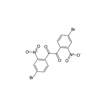 O=C(C(=O)c1ccc(Br)cc1[N+](=O)[O-])c1ccc(Br)cc1[N+](=O)[O-]